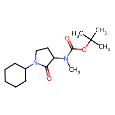 CN(C(=O)OC(C)(C)C)C1CCN(C2CCCCC2)C1=O